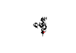 C[C@@H]1COCCN1c1cc2c3c(n1)c(-c1cc[nH]n1)nn3CCC(=O)N2CC12CC(F)(C1)C2